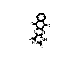 O=C1c2ccccc2C(=O)c2nc3c(=O)[nH]c(=O)[nH]c3nc21